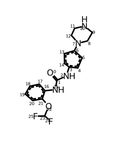 O=C(Nc1ccc(N2CCNCC2)cc1)Nc1ccccc1OC(F)F